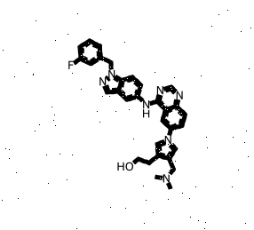 CN(C)Cc1cn(-c2ccc3ncnc(Nc4ccc5c(cnn5Cc5cccc(F)c5)c4)c3c2)cc1CCO